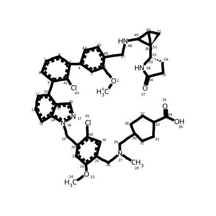 COc1cc(-c2cccc(-c3cccc4c3cnn4Cc3cc(OC)c(CN(C)CC4CCC(C(=O)O)CC4)cc3Cl)c2Cl)ccc1CNC1C2C[C@]21[C@@H]1CCC(=O)N1